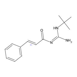 CC(C)(C)NC(N)=NC(=O)/C=C/c1ccccc1